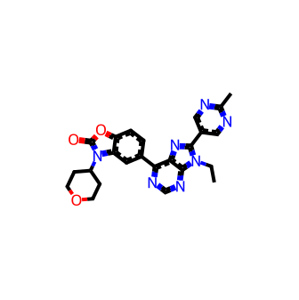 CCn1c(-c2cnc(C)nc2)nc2c(-c3ccc4oc(=O)n(C5CCOCC5)c4c3)ncnc21